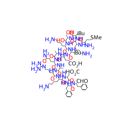 CCC(C)C(NC(=O)C(CCCCN)NC(O)C(CO)NC(=O)C(NC(=O)C(CCCCN)NC(=O)C(N)CCSC)C(C)CC)C(=O)NC(CCC(=O)O)C(=O)NC(C)C(=O)NC(CCC(N)=O)C(=O)NC(C)C(=O)NC(CCCN=C(N)N)C(=O)NC(CCCCN)C(=O)NC(CC(=O)O)C(=O)NC(Cc1ccccc1)C(=O)NC(C=O)Cc1ccccc1